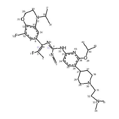 C=N/C(=N\C(=C(/C)F)c1cc(F)c2c(c1)N(C(C)C)CCO2)Nc1ccc(C2CCN(CCN(C)C)CC2)c(OC(C)C)n1